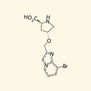 O=C(O)[C@@H]1C[C@@H](OCc2cn3cccc(Br)c3n2)CN1